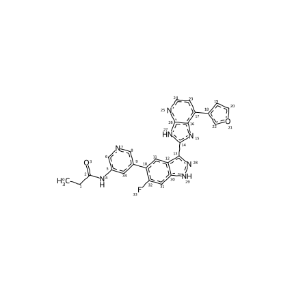 CCC(=O)Nc1cncc(-c2cc3c(-c4nc5c(-c6ccoc6)ccnc5[nH]4)n[nH]c3cc2F)c1